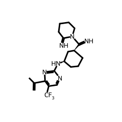 C=C(C)c1nc(N[C@@H]2CCC[C@H](C(=N)N3CCCCC3=N)C2)ncc1C(F)(F)F